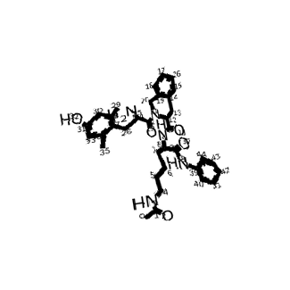 CC(=O)NCCCCC(NC(=O)C1Cc2ccccc2CN1C(=O)C(N)Cc1c(C)cc(O)cc1C)C(=O)Nc1ccccc1